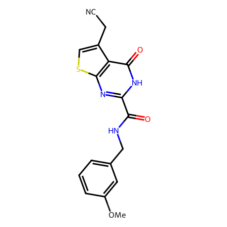 COc1cccc(CNC(=O)c2nc3scc(CC#N)c3c(=O)[nH]2)c1